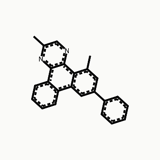 Cc1cnc2c(n1)c1ccccc1c1cc(-c3ccccc3)cc(C)c12